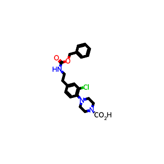 O=C(NCCc1ccc(N2CCN(C(=O)O)CC2)c(Cl)c1)OCc1ccccc1